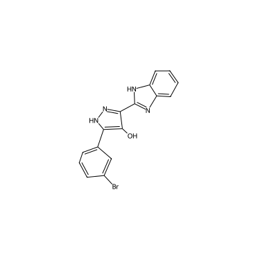 Oc1c(-c2nc3ccccc3[nH]2)n[nH]c1-c1cccc(Br)c1